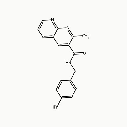 Cc1nc2ncccc2cc1C(=O)NCc1ccc(C(C)C)cc1